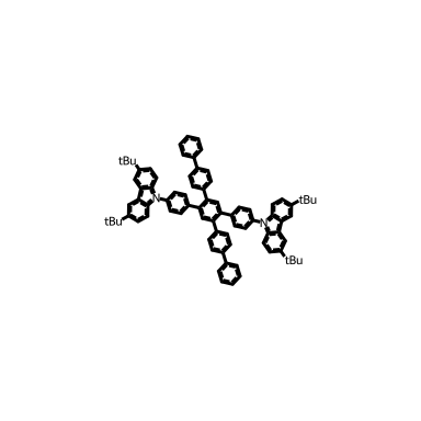 CC(C)(C)c1ccc2c(c1)c1cc(C(C)(C)C)ccc1n2-c1ccc(-c2cc(-c3ccc(-c4ccccc4)cc3)c(-c3ccc(-n4c5ccc(C(C)(C)C)cc5c5cc(C(C)(C)C)ccc54)cc3)cc2-c2ccc(-c3ccccc3)cc2)cc1